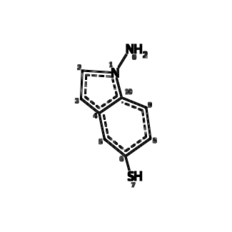 Nn1ccc2cc(S)ccc21